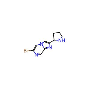 Brc1cn2cc(C3CCCN3)nc2cn1